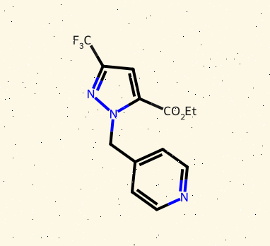 CCOC(=O)c1cc(C(F)(F)F)nn1Cc1ccncc1